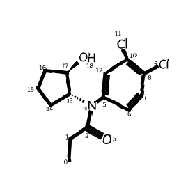 CCC(=O)N(c1ccc(Cl)c(Cl)c1)[C@@H]1CCC[C@H]1O